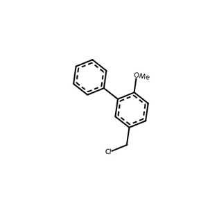 COc1ccc(CCl)cc1-c1ccccc1